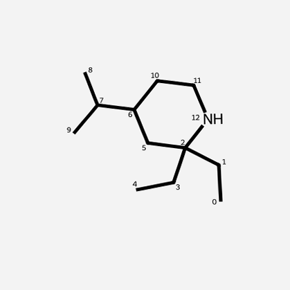 CCC1(CC)CC(C(C)C)CCN1